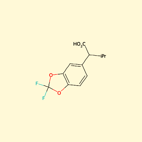 CC(C)C(C(=O)O)c1ccc2c(c1)OC(F)(F)O2